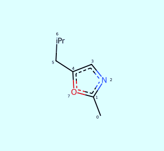 Cc1ncc(CC(C)C)o1